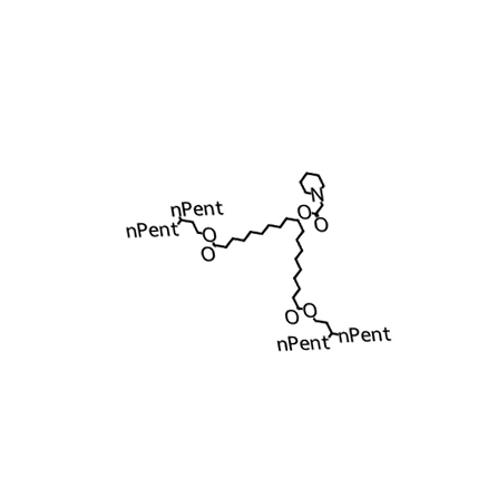 CCCCCC(CCCCC)CCOC(=O)CCCCCCCCC(CCCCCCCCC(=O)OCCC(CCCCC)CCCCC)OC(=O)CN1CCCCC1